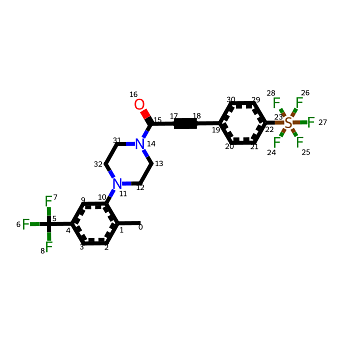 Cc1ccc(C(F)(F)F)cc1N1CCN(C(=O)C#Cc2ccc(S(F)(F)(F)(F)F)cc2)CC1